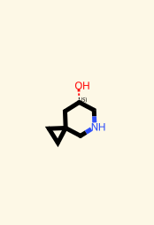 O[C@@H]1CNCC2(CC2)C1